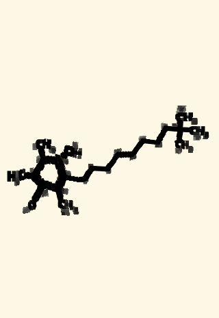 Cc1c(C)n(O)c(CCCCCCCCC(C)(C)C)c(C)c1=O